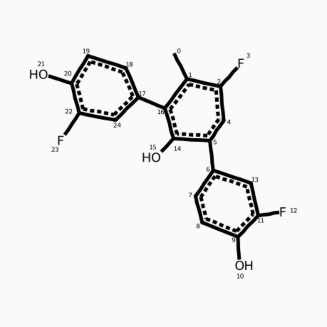 Cc1c(F)cc(-c2ccc(O)c(F)c2)c(O)c1-c1ccc(O)c(F)c1